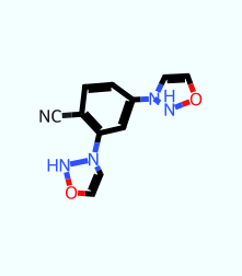 N#Cc1ccc(N2C=CON2)cc1N1C=CON1